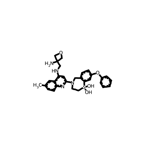 Cc1ccc2nc(N3CCS(O)(O)c4cc(Oc5ccccc5)ccc4C3)cc(NCC3(N)COC3)c2c1